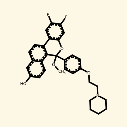 COC1(c2ccc(OCCN3CCCCC3)cc2)Oc2cc(F)c(F)cc2-c2ccc3cc(O)ccc3c21